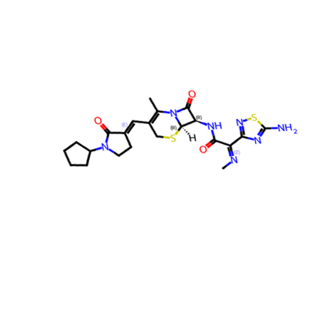 C/N=C(\C(=O)N[C@@H]1C(=O)N2C(C)=C(/C=C3\CCN(C4CCCC4)C3=O)CS[C@H]12)c1nsc(N)n1